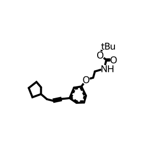 CC(C)(C)OC(=O)NCCOc1cccc(C#CCC2CCCC2)c1